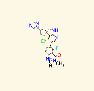 CN(C)C(=O)c1c(N)ccc(-c2cnc3c(c2Cl)C2(CCC(n4cncn4)C2)CN3)c1F